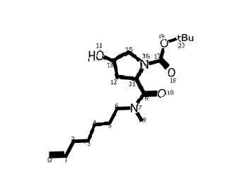 C=CCCCCCN(C)C(=O)C1CC(O)CN1C(=O)OC(C)(C)C